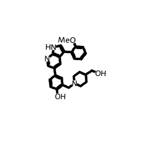 COc1ccccc1-c1c[nH]c2ncc(-c3ccc(O)c(CN4CCC(CO)CC4)c3)cc12